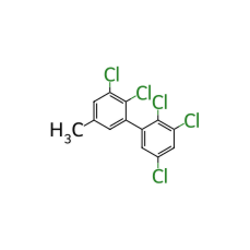 Cc1cc(Cl)c(Cl)c(-c2cc(Cl)cc(Cl)c2Cl)c1